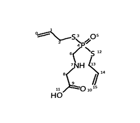 C=CCSP(=O)(CNCC(=O)O)SCC=C